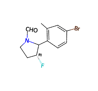 Cc1cc(Br)ccc1C1[C@H](F)CCN1C=O